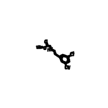 CC(C)(C)OC(=O)CNCCc1cc(Cl)cc(C#N)c1